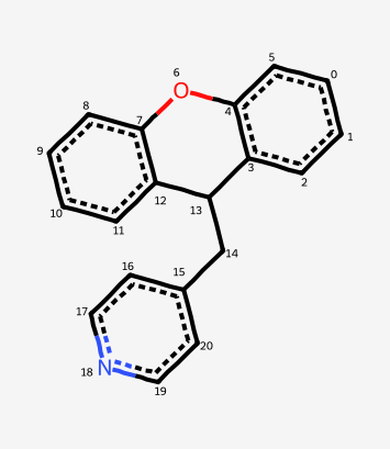 c1ccc2c(c1)Oc1ccccc1C2Cc1ccncc1